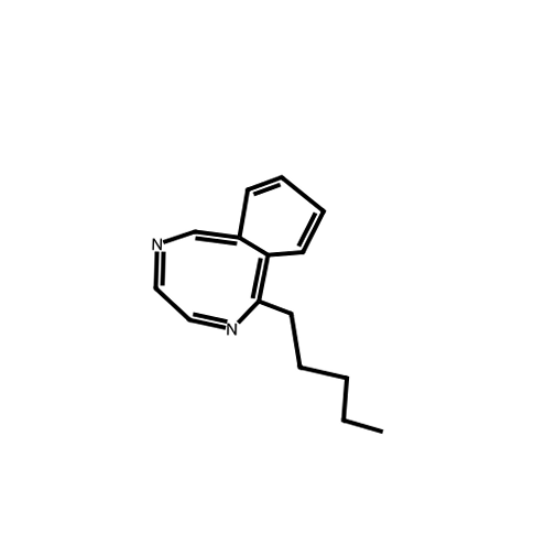 CCCCCC1=c2ccccc2=CN=CC=N1